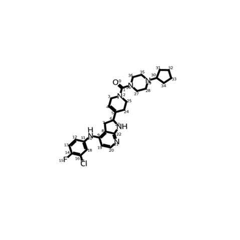 O=C(N1CC=C(C2Cc3c(Nc4ccc(F)c(Cl)c4)ccnc3N2)CC1)N1CCN(C2CCCC2)CC1